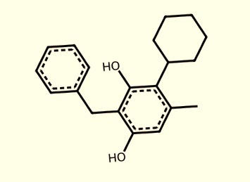 Cc1cc(O)c(Cc2ccccc2)c(O)c1C1CCCCC1